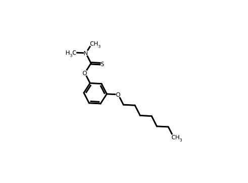 CCCCCCCOc1cccc(OC(=S)N(C)C)c1